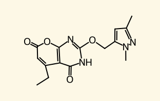 CCc1cc(=O)oc2nc(OCc3cc(C)nn3C)[nH]c(=O)c12